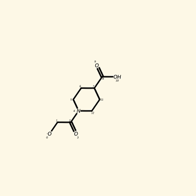 [O]CC(=O)N1CCC(C(=O)O)CC1